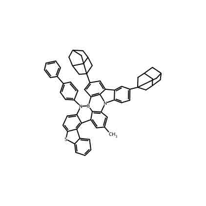 Cc1cc2c3c(c1)-n1c4ccc(C56CC7CC(CC(C7)C5)C6)cc4c4cc(C56CC7CC(CC(C7)C5)C6)cc(c41)B3N(c1ccc(-c3ccccc3)cc1)c1ccc3sc4ccccc4c3c1-2